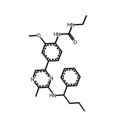 CCCC(Nc1nc(-c2ccc(NC(=O)NCC)c(OC)c2)cnc1C)c1ccccc1